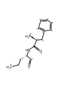 CCC[C@@H]([C]=O)NC(=O)[C@@H](N)Cc1ccccc1